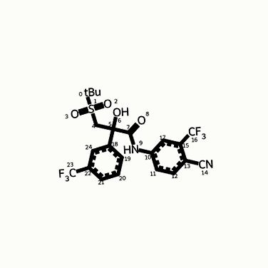 CC(C)(C)S(=O)(=O)CC(O)(C(=O)Nc1ccc(C#N)c(C(F)(F)F)c1)c1cccc(C(F)(F)F)c1